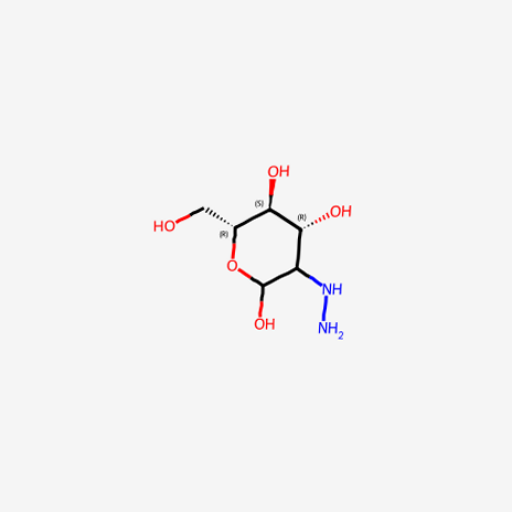 NNC1C(O)O[C@H](CO)[C@@H](O)[C@@H]1O